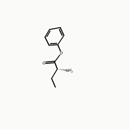 CC[C@@H](N)C(=O)Oc1ccccc1